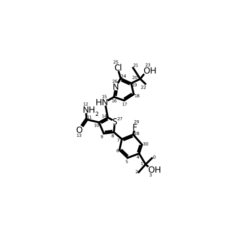 CC(C)(O)c1ccc(-c2cc(C(N)=O)c(Nc3ccc(C(C)(C)O)c(Cl)n3)s2)c(F)c1